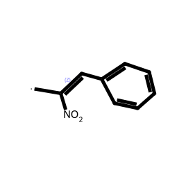 [CH2]/C(=C/c1ccccc1)[N+](=O)[O-]